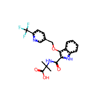 CC(C)(NC(=O)c1[nH]c2ccccc2c1OCc1ccc(C(F)(F)F)nc1)C(=O)O